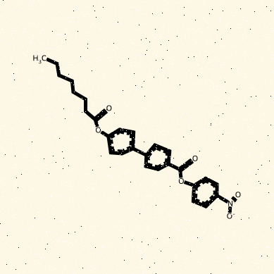 CCCCCCCC(=O)Oc1ccc(-c2ccc(C(=O)Oc3ccc([N+](=O)[O-])cc3)cc2)cc1